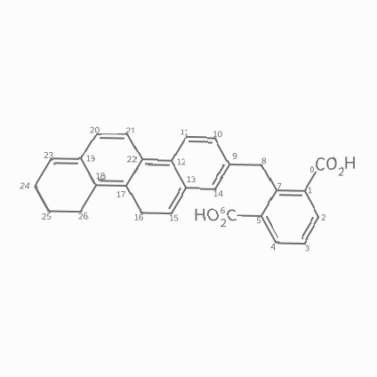 O=C(O)c1cccc(C(=O)O)c1Cc1ccc2c(c1)=CCc1c3c(ccc1=2)=CCCC3